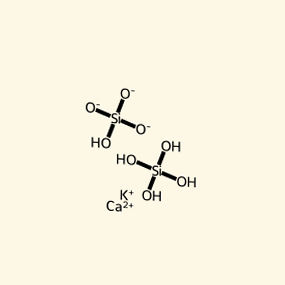 O[Si](O)(O)O.[Ca+2].[K+].[O-][Si]([O-])([O-])O